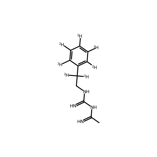 [2H]c1c([2H])c([2H])c(C([2H])([2H])CNC(=N)NC(C)=N)c([2H])c1[2H]